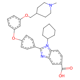 CN1CCC(COc2cccc(Oc3ccc(-c4nc5cc(C(=O)O)ccc5n4C4CCCCC4)cc3)c2)CC1